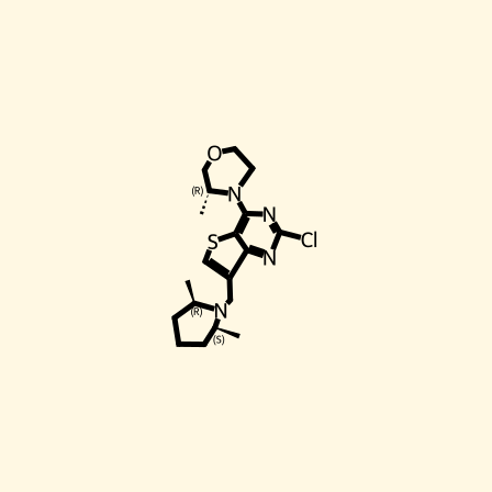 C[C@@H]1COCCN1c1nc(Cl)nc2c(CN3[C@H](C)CCC[C@@H]3C)csc12